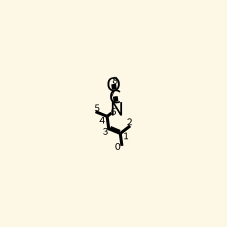 CC(C)=CC(C)N=C=O